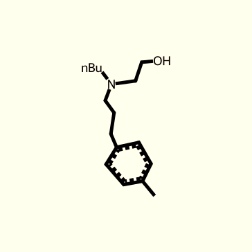 CCCCN(CCO)CCCc1ccc(C)cc1